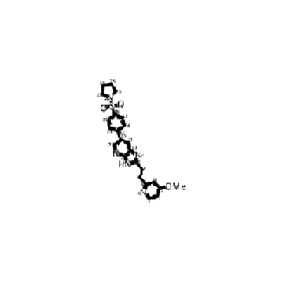 COc1ccnc(CCc2nc3cc(-c4ccc(S(=O)(=O)N5CCCC5)cc4)cnc3[nH]2)c1